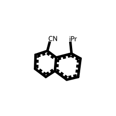 CC(C)c1cccc2cccc(C#N)c12